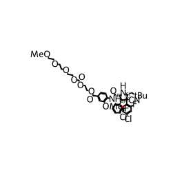 COCCOCCOCCOC(=O)OCCOC(=O)c1ccc(NC(=O)[C@@H]2N[C@@H](CC(C)(C)C)[C@](C#N)(c3ccc(Cl)cc3F)[C@H]2c2cccc(Cl)c2F)c(OC)c1